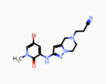 Cn1cc(Br)cc(Nc2cc3n(n2)CCN(CCC#N)C3)c1=O